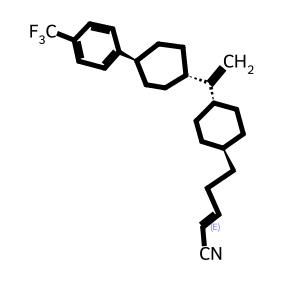 C=C([C@H]1CC[C@H](CC/C=C/C#N)CC1)[C@H]1CC[C@H](c2ccc(C(F)(F)F)cc2)CC1